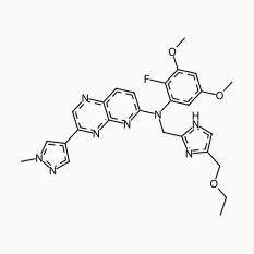 CCOCc1c[nH]c(CN(c2ccc3ncc(-c4cnn(C)c4)nc3n2)c2cc(OC)cc(OC)c2F)n1